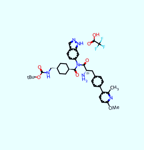 COc1ccc(-c2ccc(C[C@H](N)C(=O)N(c3ccc4cn[nH]c4c3)C(=O)[C@H]3CC[C@H](CNC(=O)OC(C)(C)C)CC3)cc2)c(C)n1.O=C(O)C(F)(F)F